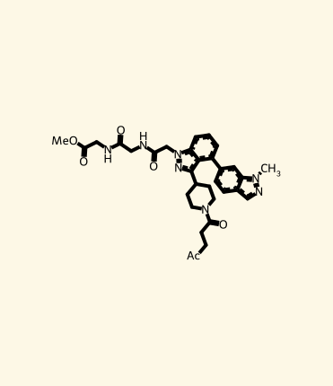 COC(=O)CNC(=O)CNC(=O)Cn1nc(C2CCN(C(=O)CCC(C)=O)CC2)c2c(-c3ccc4cnn(C)c4c3)cccc21